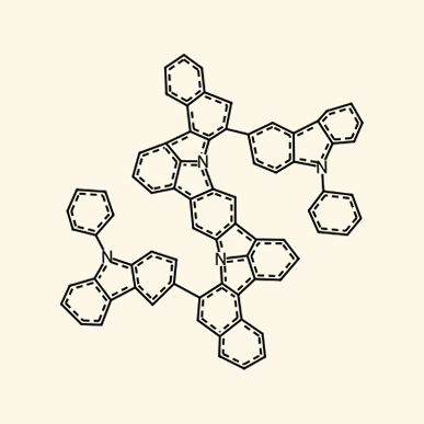 c1ccc(-n2c3ccccc3c3cc(-c4cc5ccccc5c5c6cccc7c8cc9c(cc8n(c45)c76)c4cccc5c6c7ccccc7cc(-c7ccc8c(c7)c7ccccc7n8-c7ccccc7)c6n9c45)ccc32)cc1